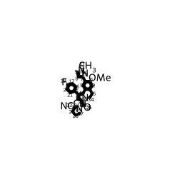 COc1cc2c(cc1-c1ccn(C)n1)-c1c(-c3ccc(F)cc3)cc(C(=O)N3CCC[C@]3(C)C#N)n1CC2